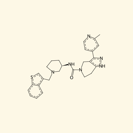 Cc1cc(-c2n[nH]c3c2CN(C(=O)N[C@@H]2CCCN(Cc4csc5ccccc45)C2)CC3)ccn1